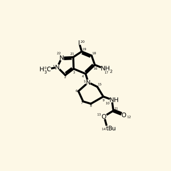 Cn1cc2c(N3CCCC(NC(=O)OC(C)(C)C)C3)c(N)cc(I)c2n1